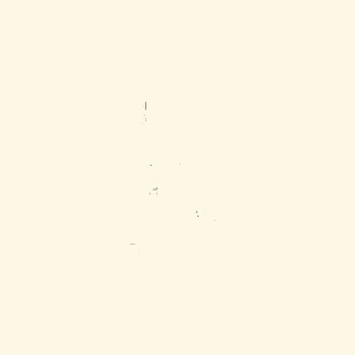 C=Cc1ccc(Oc2cc3ccc(OCC)cc3oc2=O)c(C(=O)O)c1